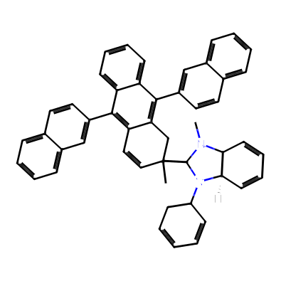 CN1C2C=CC=C[C@H]2N(C2C=CC=CC2)C1C1(C)C=Cc2c(c(-c3ccc4ccccc4c3)c3ccccc3c2-c2ccc3ccccc3c2)C1